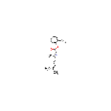 CC(C)=CCC/C(C)=C/C(=O)Oc1ccccc1C